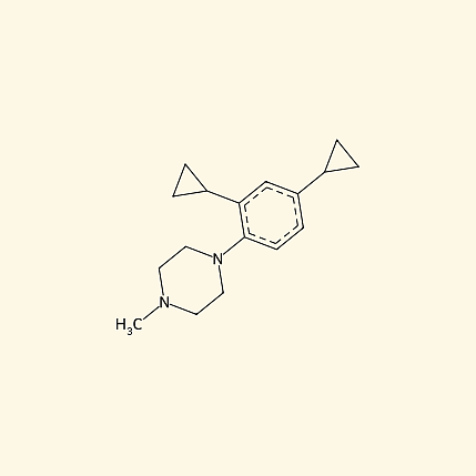 CN1CCN(c2ccc(C3CC3)cc2C2CC2)CC1